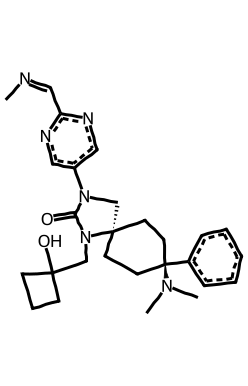 C/N=C\c1ncc(N2C[C@]3(CC[C@](c4ccccc4)(N(C)C)CC3)N(CC3(O)CCC3)C2=O)cn1